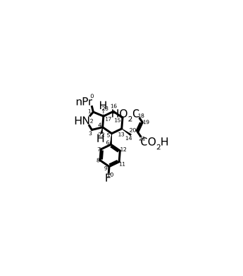 CCCC1NC[C@H]2[C@H](c3ccc(F)cc3)[C@H](C)CC[C@H]12.O=C(O)/C=C/C(=O)O